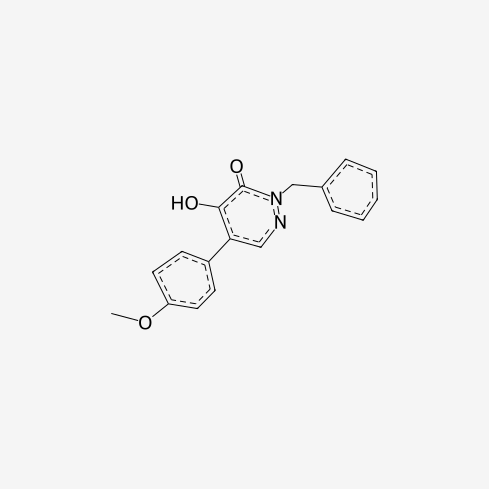 COc1ccc(-c2cnn(Cc3ccccc3)c(=O)c2O)cc1